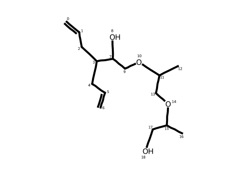 C=CCC(CC=C)C(O)COC(C)COC(C)CO